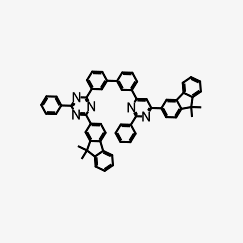 CC1(C)c2ccccc2-c2cc(-c3cc(-c4cccc(-c5cccc(-c6nc(-c7ccccc7)nc(-c7ccc8c(c7)C(C)(C)c7ccccc7-8)n6)c5)c4)nc(-c4ccccc4)n3)ccc21